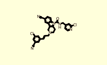 N#Cc1cc(Cl)cc(C=CCN2CCc3c(c4cc(C#N)ccc4n3C(=O)NCc3ccnc(Cl)c3)C2)c1